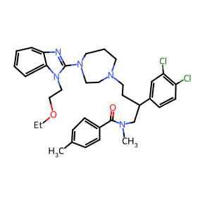 CCOCCn1c(N2CCCN(CCC(CN(C)C(=O)c3ccc(C)cc3)c3ccc(Cl)c(Cl)c3)CC2)nc2ccccc21